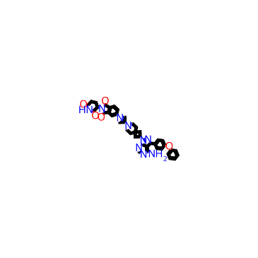 Nc1ncnc2c1c(-c1ccc(Oc3ccccc3)cc1)nn2C1CC2(CCN(C3CN(c4ccc5c(c4)C(=O)N(C4CCC(=O)NC4=O)C5=O)C3)CC2)C1